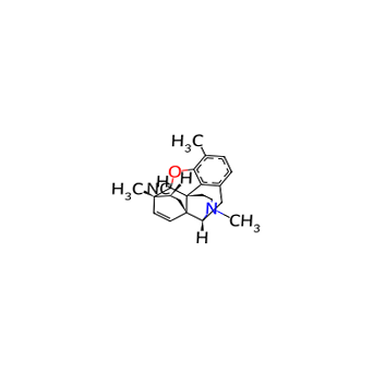 Cc1ccc2c3c1O[C@H]1[C@@]4(C)C=C[C@@]5(C[C@H]4C#N)[C@@H](C2)N(C)CC[C@]315